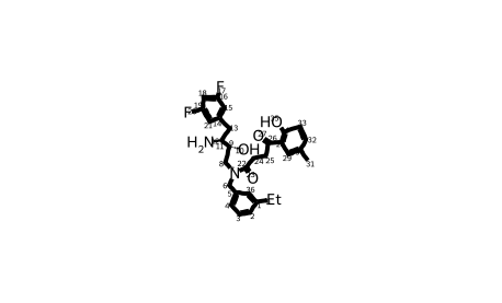 CCc1cccc(CN(C[C@@H](O)[C@@H](N)Cc2cc(F)cc(F)c2)C(=O)CCC(=O)c2cc(C)ccc2O)c1